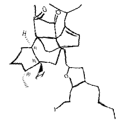 CCCCC1CC(C23C[C@@H]4[C@H](C)CC[C@H]4C4(C=O)CC2C=C(C(C)C)C34C(=O)OC)OC1CI